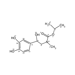 CC(C)OC(=O)N(C)CC(O)c1ccc(O)c(O)c1